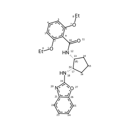 CCOc1cccc(OCC)c1C(=O)N[C@@H]1CCC[C@@H]1Nc1nc2ccccc2o1